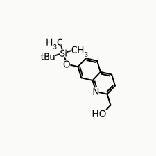 CC(C)(C)[Si](C)(C)Oc1ccc2ccc(CO)nc2c1